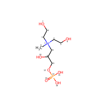 C[N+](CCO)(CCO)CC(O)COP(=O)(O)O